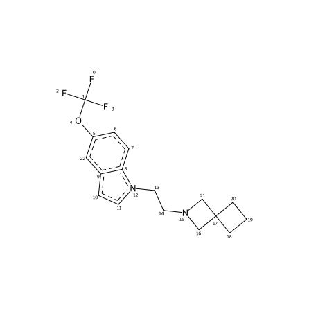 FC(F)(F)Oc1ccc2c(ccn2CCN2CC3(CCC3)C2)c1